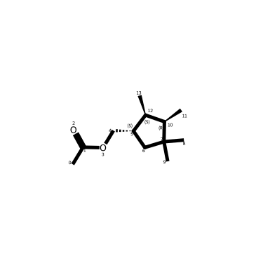 CC(=O)OC[C@H]1CC(C)(C)[C@H](C)[C@@H]1C